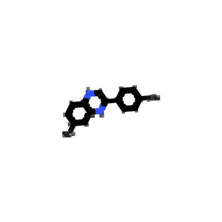 CC(C)(C)c1ccc(-c2cnc3ccc(C#N)cc3n2)cc1